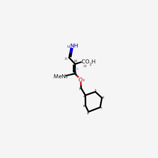 CN/C(OCC1CCCCC1)=C(\C=N)C(=O)O